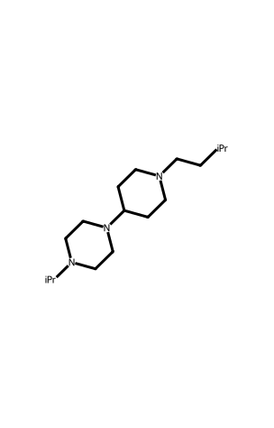 CC(C)CCN1CCC(N2CCN(C(C)C)CC2)CC1